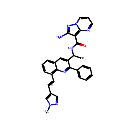 CC(NC(=O)c1c(N)nn2cccnc12)c1cc2cccc(/C=C/c3cnn(C)c3)c2nc1-c1ccccc1